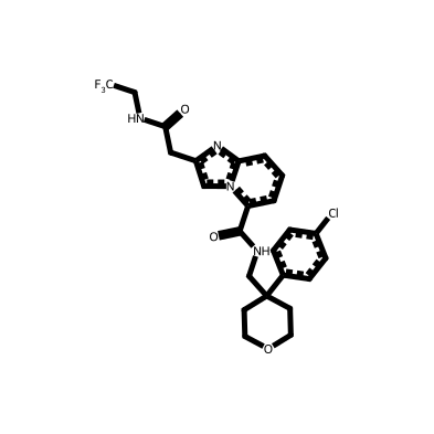 O=C(Cc1cn2c(C(=O)NCC3(c4ccc(Cl)cc4)CCOCC3)cccc2n1)NCC(F)(F)F